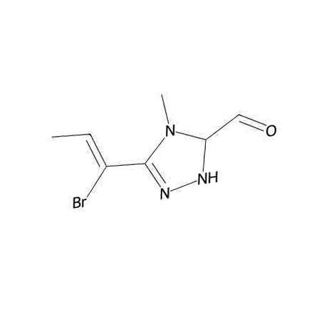 CC=C(Br)C1=NNC(C=O)N1C